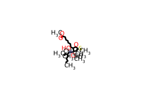 CCCCCC(/C=C(\O[SiH](C)C)C1C=C(SC)C(=O)C1C(O)CCCCCC(=O)OC)C(C)(C)C